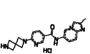 Cc1cn2cc(NC(=O)c3ccc(N4CC5(CNC5)C4)nc3)ccc2n1.Cl